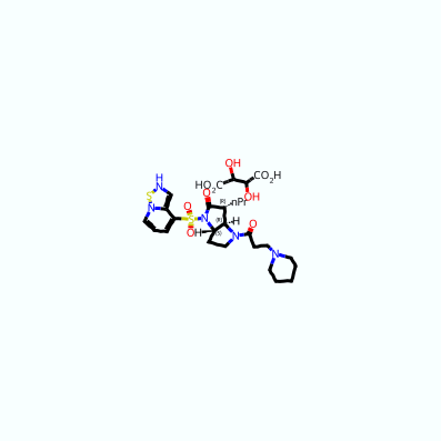 CCC[C@H]1C(=O)N(S(=O)(=O)C2=CC=CN3SNC=C23)[C@H]2CCN(C(=O)CCN3CCCCC3)[C@H]12.O=C(O)C(O)C(O)C(=O)O